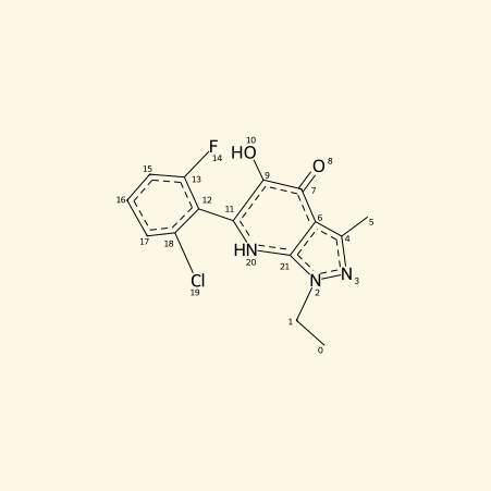 CCn1nc(C)c2c(=O)c(O)c(-c3c(F)cccc3Cl)[nH]c21